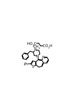 CC(C)c1cc2c(s1)CC=c1cccnc1=C2N1CCN(C)C(Cc2ccccc2)C1.O=C(O)CCC(=O)O